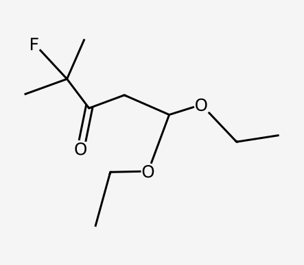 CCOC(CC(=O)C(C)(C)F)OCC